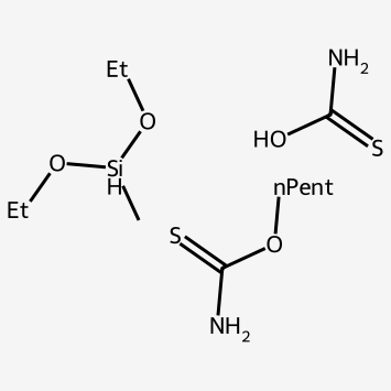 CCCCCOC(N)=S.CCO[SiH](C)OCC.NC(O)=S